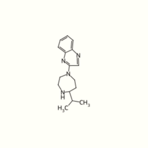 CC(C)C1CCN(c2cnc3ccccc3n2)CCN1